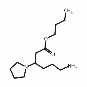 CCCCOC(=O)CC(CCCN)N1CCCC1